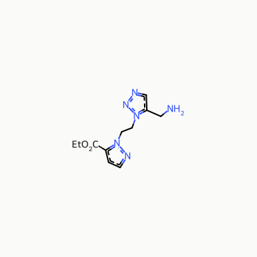 CCOC(=O)c1ccnn1CCn1nncc1CN